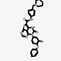 O=C(Nc1ccc(CN2CCCCC2)cc1)c1sc2ncnc3c2c1NC(=O)N3c1ccc(Oc2ccccc2)c(Br)c1